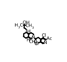 CC(=O)c1ncc(Cl)c(CC(=O)N2CC[C@H]3[C@H](CCC(C)(C)O)CCC[C@@H]3[C@@H]2C)c1Cl